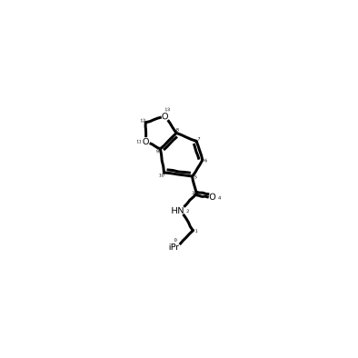 CC(C)CNC(=O)c1ccc2c(c1)OCO2